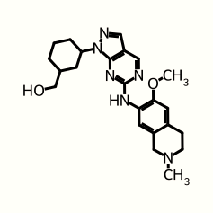 COc1cc2c(cc1Nc1ncc3cnn(C4CCCC(CO)C4)c3n1)CN(C)CC2